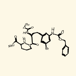 COC(=O)C1CCCN(C(=O)C(Cc2cc(Br)cc(NC(=O)OCc3ccccc3)c2)NC(=O)OC(C)(C)C)N1